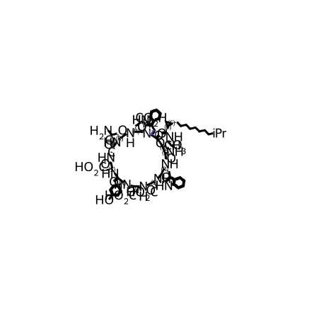 CC(C)CCCCCCCC[C@H]1C[C@@H]1C(=O)NCC(=O)N[C@@H]1C(=O)N[C@H](Cc2c[nH]c3ccccc23)C(=O)N[C@@H](CC(=O)O)C(=O)N[C@@H](CC(=O)O)C(=O)N[C@H](c2ccc(O)cc2)C(=O)N[C@@H](CC(=O)O)C(=O)NCC(=O)N[C@H](CC(N)=O)C(=O)N[C@H](CCC(=O)O)C(=O)N/C(=C\c2c[nH]c3ccccc23)C(=O)O[C@@H]1C